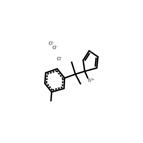 Cc1cccc(C(C)(C)[C]2([Ti+3])C=CC=C2)c1.[Cl-].[Cl-].[Cl-]